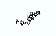 O=C(C=Cc1ccc(OC(F)(F)F)cc1)N1CC[C@@H]2CN(C(=O)C3CCc4[nH]nnc4C3)C[C@@H]2CC1